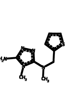 CN(Cc1cccs1)c1nnc(N)n1C